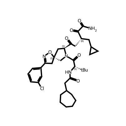 CC(C)(C)[C@H](NC(=O)CC1CCCCCC1)C(=O)N1C[C@@]2(CC(c3cccc(Cl)c3)=NO2)C[C@H]1C(=O)C[C@@H](CC1CC1)C(=O)C(N)=O